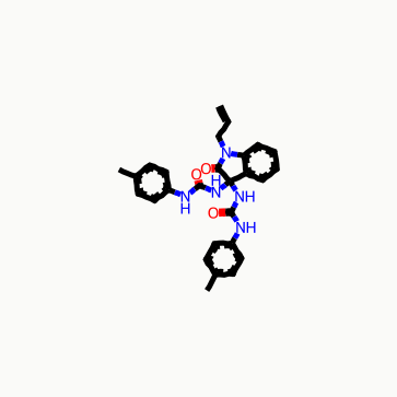 C=CCN1C(=O)C(NC(=O)Nc2ccc(C)cc2)(NC(=O)Nc2ccc(C)cc2)c2ccccc21